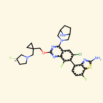 Nc1nc2c(-c3c(Cl)cc4c(N5CC6CCC(C5)N6)nc(OCC5(CN6CC[C@H](F)C6)CC5)nc4c3F)ccc(F)c2s1